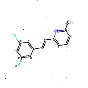 Cc1cccc(/C=C/c2cc(F)cc(F)c2)n1